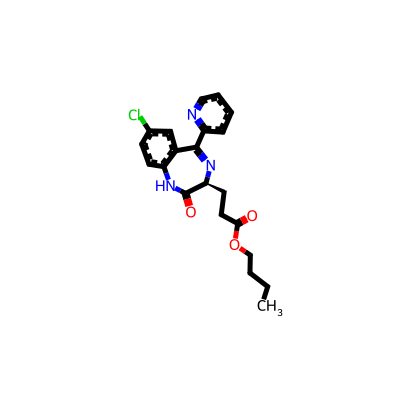 CCCCOC(=O)CC[C@@H]1N=C(c2ccccn2)c2cc(Cl)ccc2NC1=O